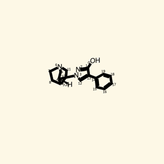 Oc1nn([C@H]2CN3CCC2CC3)cc1-c1ccccc1